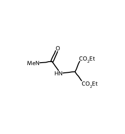 CCOC(=O)C(NC(=O)NC)C(=O)OCC